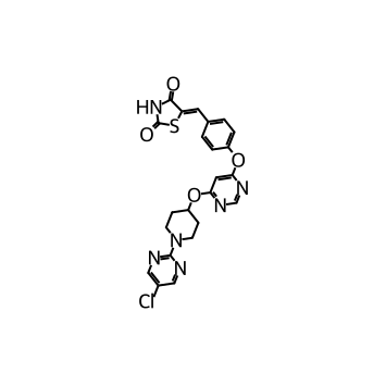 O=C1NC(=O)/C(=C/c2ccc(Oc3cc(OC4CCN(c5ncc(Cl)cn5)CC4)ncn3)cc2)S1